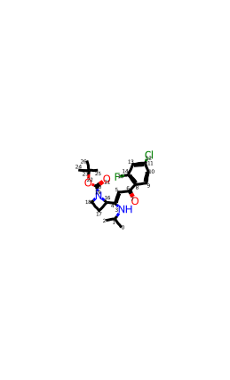 CC(C)NC(=CC(=O)c1ccc(Cl)cc1F)C1CCN1C(=O)OC(C)(C)C